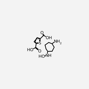 NC1CCCC(NO)CC1.O=C(O)c1ccc(C(=O)O)s1